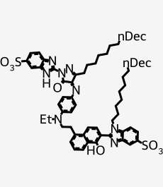 CCCCCCCCCCCCCCCCCCn1c(-c2ccc3c(CCN(CC)c4ccc(/N=C5\C(=O)N(c6nc7ccc(S(=O)(=O)O)cc7[nH]6)N=C5CCCCCCCCCCCCCCCCC)cc4)cccc3c2O)nc2cc(S(=O)(=O)O)ccc21